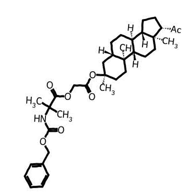 CC(=O)[C@H]1CC[C@H]2[C@@H]3CC[C@H]4C[C@](C)(OC(=O)COC(=O)C(C)(C)NC(=O)OCc5ccccc5)CC[C@]4(C)[C@H]3CC[C@]12C